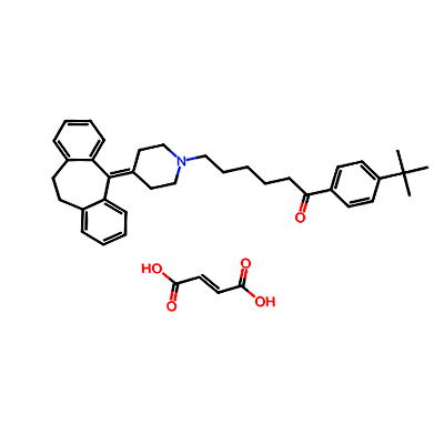 CC(C)(C)c1ccc(C(=O)CCCCCN2CCC(=C3c4ccccc4CCc4ccccc43)CC2)cc1.O=C(O)/C=C/C(=O)O